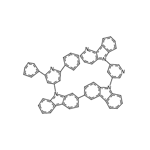 c1ccc(-c2cc(-n3c4ccccc4c4ccc(-c5ccc6c(c5)c5ccccc5n6-c5cncc(-n6c7ccccc7c7ncccc76)c5)cc43)cc(-c3ccccc3)n2)cc1